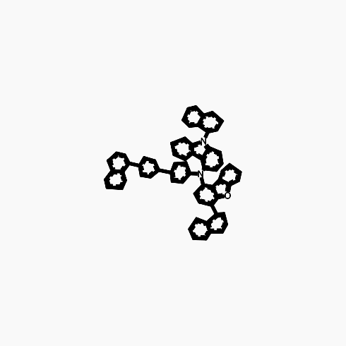 c1ccc2c(-c3ccc(-c4ccc(N(c5ccc(-c6cccc7ccccc67)c6oc7ccccc7c56)c5cccc6c5c5ccccc5n6-c5cccc6ccccc56)cc4)cc3)cccc2c1